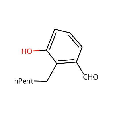 CCCCCCc1c(O)cccc1C=O